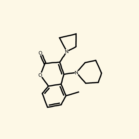 Cc1cccc2oc(=O)c(N3CCC3)c(N3CCCCC3)c12